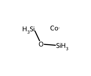 [Co].[SiH3]O[SiH3]